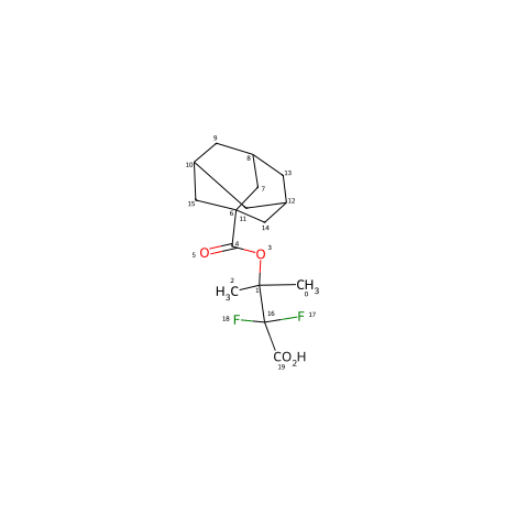 CC(C)(OC(=O)C12CC3CC(CC(C3)C1)C2)C(F)(F)C(=O)O